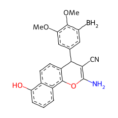 Bc1cc(C2C(C#N)=C(N)Oc3c2ccc2c(O)cccc32)cc(OC)c1OC